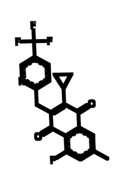 Cc1cc(F)c2c(c1)C(=O)C(C1CC1)=C(Cc1ccc(C(F)(F)F)cn1)C2=O